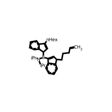 C=CCCCC1C=C(B(C2C=C(CCCCCC)c3ccccc32)N(C(C)C)C(C)C)c2ccccc21